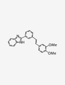 COc1ccc(C=Cc2cccc(-c3nc4ccccc4[nH]3)c2)cc1OC